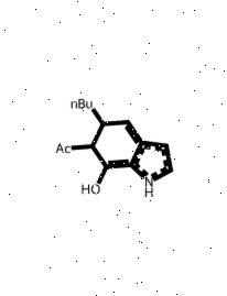 CCCCC1C=c2cc[nH]c2=C(O)C1C(C)=O